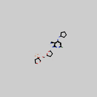 O=P(O)(O)C1(OC[C@H]2O[C@@H](n3ncc4c(NC5CCCC5)cc(Cl)nc43)[C@H](O)[C@@H]2O)CCOC1